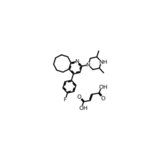 CC1CN(c2cc(-c3ccc(F)cc3)c3c(n2)CCCCCC3)CC(C)N1.O=C(O)C=CC(=O)O